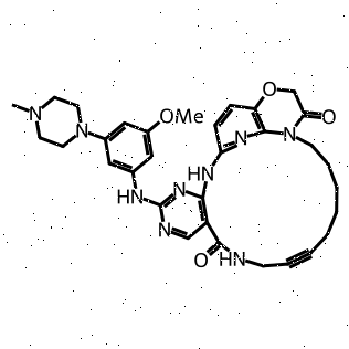 COc1cc(Nc2ncc3c(n2)Nc2ccc4c(n2)N(CCCCCC#CCNC3=O)C(=O)CO4)cc(N2CCN(C)CC2)c1